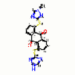 CCn1cnc(Sc2cccc3c2C(=O)c2cccc(Sc4nc[nH]n4)c2C3=O)n1